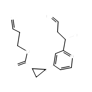 C=CCCNC(=O)[C@H]1C[C@H]1c1ccnc([C@@H](C)CC=C)c1